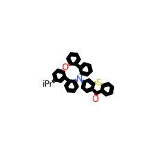 CC(C)c1ccc2c(c1)-c1ccccc1N(c1ccc3c(=O)c4ccccc4sc3c1)c1ccccc1-c1ccccc1O2